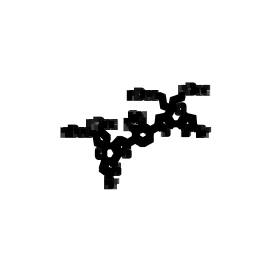 CCCCCCCCCCCCC1(CCCCCCCCCCCC)Oc2cc(Br)sc2-c2sc(-c3ccc(-c4cc5c(s4)-c4sc(Br)cc4OC5(CCCCCCCCCCCC)CCCCCCCCCCCC)c4nsnc34)cc21